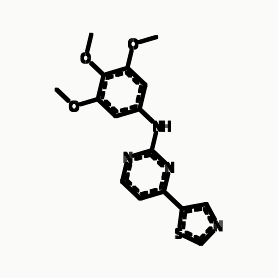 COc1cc(Nc2nccc(-c3cncs3)n2)cc(OC)c1OC